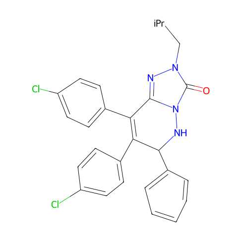 CC(C)Cn1nc2n(c1=O)NC(c1ccccc1)C(c1ccc(Cl)cc1)=C2c1ccc(Cl)cc1